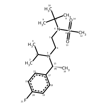 CC(C)N(CCN(C(C)(C)C)S(C)(=O)=O)[C@H](C)c1ccc(F)cc1